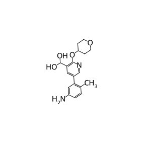 Cc1ccc(N)cc1-c1cnc(OC2CCOCC2)c(C(O)O)c1